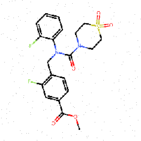 COC(=O)c1ccc(CN(C(=O)N2CCS(=O)(=O)CC2)c2ccccc2F)c(F)c1